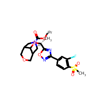 CC(C)OC(=O)N1CC2COCC(C1)C2O[C@H](C)c1nc(-c2ccc(S(C)(=O)=O)c(F)c2)no1